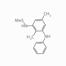 CSNc1cc(C)cc(Nc2ccccc2)c1C